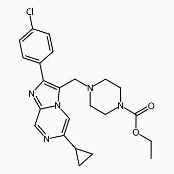 CCOC(=O)N1CCN(Cc2c(-c3ccc(Cl)cc3)nc3cnc(C4CC4)cn23)CC1